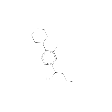 CCCC(C)c1ccc(N2CCOCC2)c(F)c1